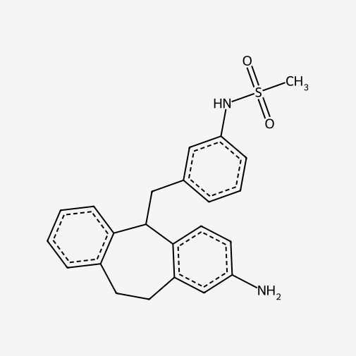 CS(=O)(=O)Nc1cccc(CC2c3ccccc3CCc3cc(N)ccc32)c1